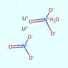 O.O=[N+]([O-])[O-].O=[N+]([O-])[O-].[Li+].[Li+]